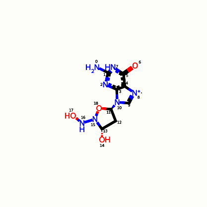 Nc1nc2c(c(=O)[nH]1)[N+]=CN2[C@H]1C[C@H](O)N(NO)O1